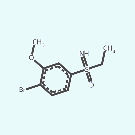 CCS(=N)(=O)c1ccc(Br)c(OC)c1